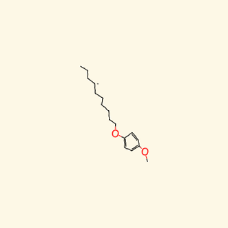 CCC[CH]CCCCCCOc1ccc(OC)cc1